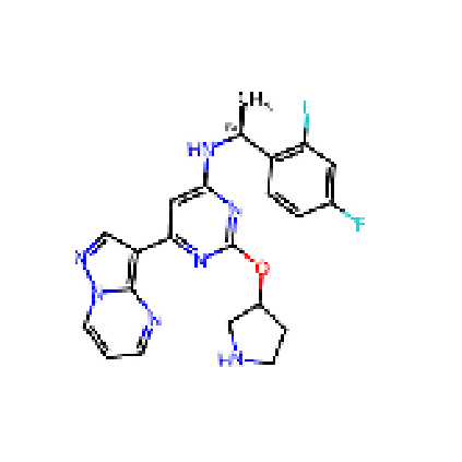 C[C@H](Nc1cc(-c2cnn3cccnc23)nc(OC2CCNC2)n1)c1ccc(F)cc1F